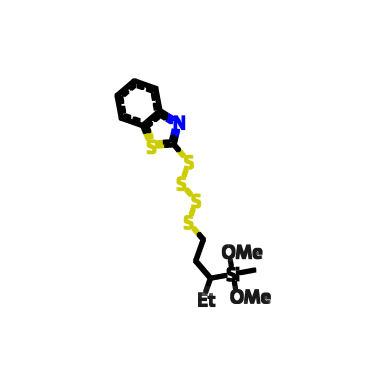 CCC(CCSSSSc1nc2ccccc2s1)[Si](C)(OC)OC